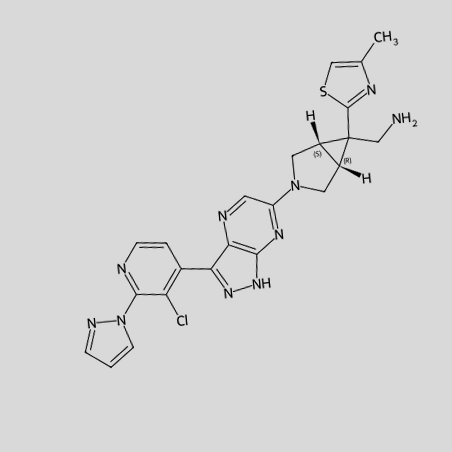 Cc1csc(C2(CN)[C@@H]3CN(c4cnc5c(-c6ccnc(-n7cccn7)c6Cl)n[nH]c5n4)C[C@@H]32)n1